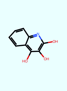 Oc1nc2ccc[c]c2c(O)c1O